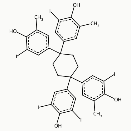 Cc1cc(C2(c3cc(C)c(O)c(I)c3)CCC(c3cc(C)c(O)c(I)c3)(c3cc(I)c(O)c(I)c3)CC2)cc(I)c1O